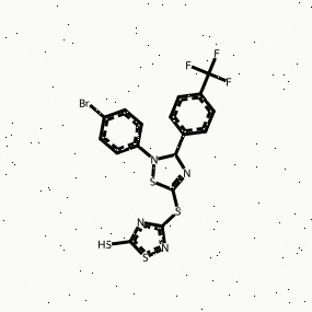 FC(F)(F)c1ccc(C2N=C(Sc3nsc(S)n3)SN2c2ccc(Br)cc2)cc1